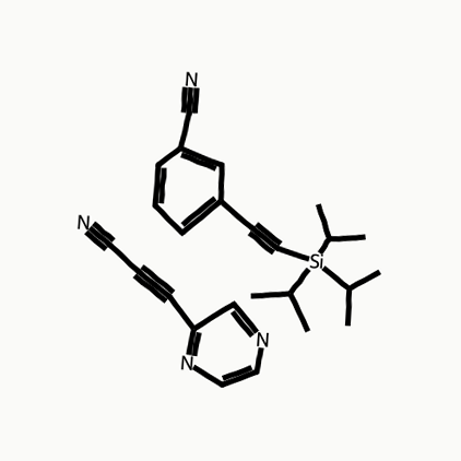 CC(C)[Si](C#Cc1cccc(C#N)c1)(C(C)C)C(C)C.N#CC#Cc1cnccn1